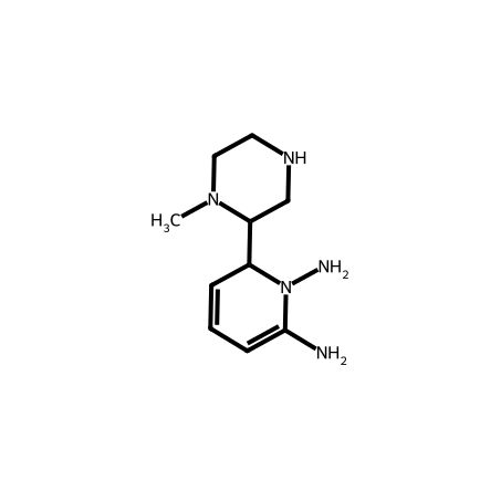 CN1CCNCC1C1C=CC=C(N)N1N